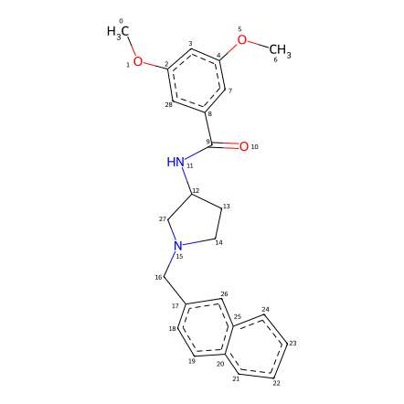 COc1cc(OC)cc(C(=O)NC2CCN(Cc3ccc4ccccc4c3)C2)c1